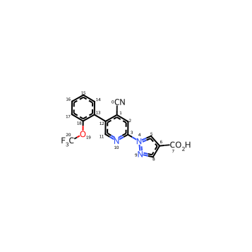 N#Cc1cc(-n2cc(C(=O)O)cn2)ncc1-c1ccccc1OC(F)(F)F